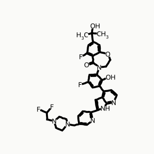 CC(C)(O)c1cc(F)c2c(c1)OCCN(c1cc(F)cc(-c3ccnc4[nH]c(-c5ccc(CN6CCN(CC(F)F)CC6)cn5)cc34)c1O)C2=O